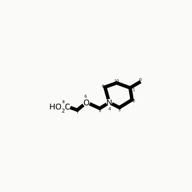 CC1CCN(COCC(=O)O)CC1